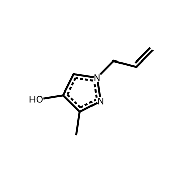 C=CCn1cc(O)c(C)n1